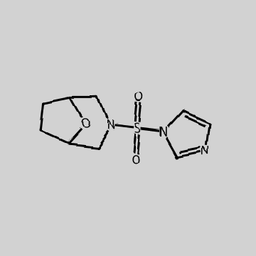 O=S(=O)(N1CC2CCC(C1)O2)n1ccnc1